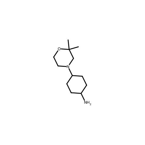 CC1(C)CN(C2CCC(N)CC2)CCO1